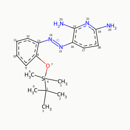 CC(C)(C)[Si](C)(C)Oc1ccccc1/N=N/c1ccc(N)nc1N